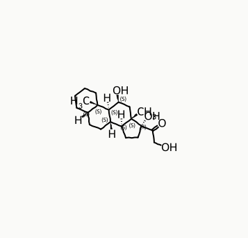 C[C@]12CCCC[C@H]1CC[C@@H]1[C@@H]2[C@@H](O)C[C@@]2(C)[C@H]1CC[C@]2(O)C(=O)CO